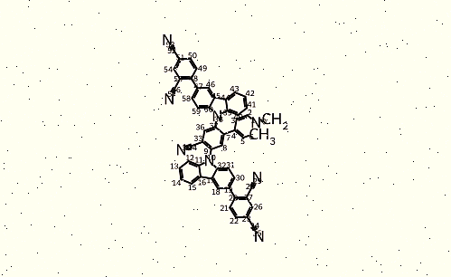 C=N/C=C\C(=C/C)c1cc(-n2c3ccccc3c3cc(-c4ccc(C#N)cc4C#N)ccc32)c(C#N)cc1-n1c2ccccc2c2cc(-c3ccc(C#N)cc3C#N)ccc21